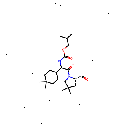 CC(C)COC(=O)NC(C(=O)N1CC(C)(C)C[C@H]1C=O)C1CCC(C)(C)CC1